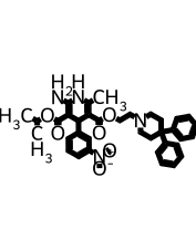 CC1=C(C(=O)OCCN2CCC(c3ccccc3)(c3ccccc3)CC2)C(c2cccc([N+](=O)[O-])c2)C(C(=O)OC(C)C)=C(N)N1